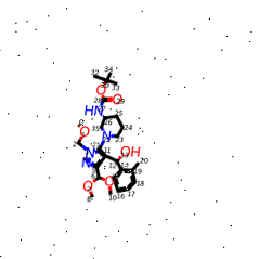 COCn1nc(C(OC)OC)c(C(O)c2ccccc2C)c1N1CCC[C@@H](NC(=O)OC(C)(C)C)C1